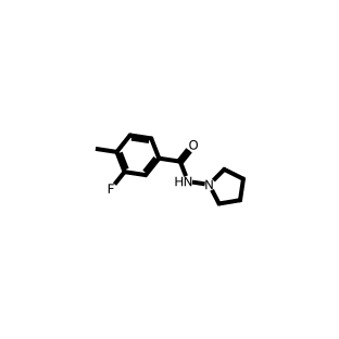 Cc1ccc(C(=O)NN2CCCC2)cc1F